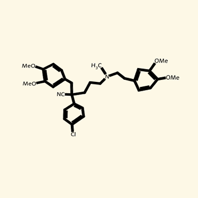 COc1ccc(CCN(C)CCCC(C#N)(Cc2ccc(OC)c(OC)c2)c2ccc(Cl)cc2)cc1OC